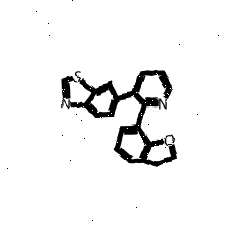 c1cnc(-c2cccc3c2OCC3)c(-c2ccc3ncsc3c2)c1